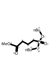 CCCCOP(=O)(CCCC(=O)OC)OCCCC